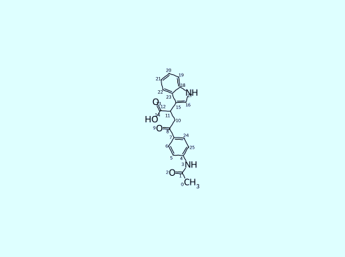 CC(=O)Nc1ccc(C(=O)CC(C(=O)O)c2c[nH]c3ccccc23)cc1